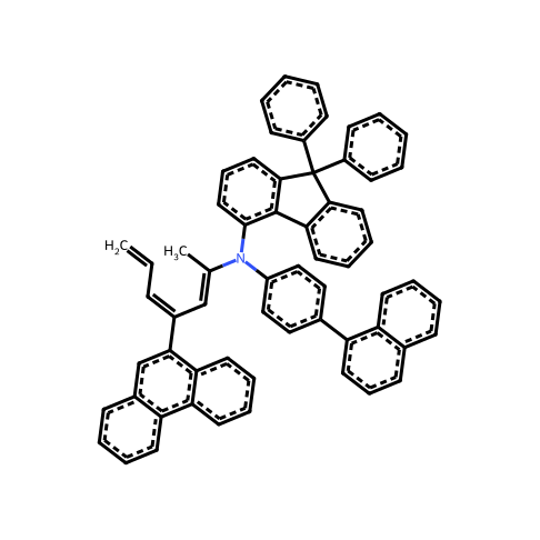 C=C/C=C(\C=C(/C)N(c1ccc(-c2cccc3ccccc23)cc1)c1cccc2c1-c1ccccc1C2(c1ccccc1)c1ccccc1)c1cc2ccccc2c2ccccc12